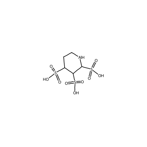 O=S(=O)(O)C1C[CH2][AlH][CH](S(=O)(=O)O)C1S(=O)(=O)O